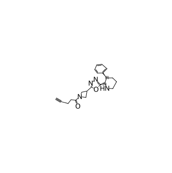 C#CCCC(=O)N1CC(c2nnc([C@@H]3NCCC[C@@H]3c3ccccc3)o2)C1